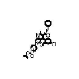 C=C(C)OC(=O)N1CCC(N2Cc3nc(C)c(C(=O)OCc4ccccc4)c(-c4ccc(Cl)cc4Cl)c3C2=O)CC1